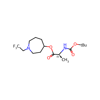 C[C@H](NC(=O)OC(C)(C)C)C(=O)OC1CCCN(CC(F)(F)F)CC1